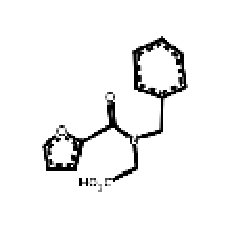 O=C(O)CN(Cc1ccccc1)C(=O)c1ccco1